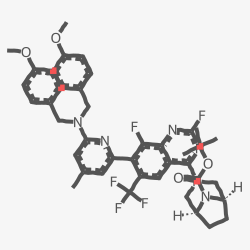 COc1ccc(CN(Cc2ccc(OC)cc2)c2cc(C)cc(-c3c(C(F)(F)F)cc4c(N5C[C@H]6CC[C@@H](C5)N6C(=O)OC(C)(C)C)nc(F)nc4c3F)n2)cc1